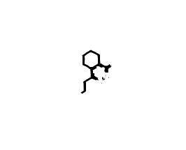 O=c1[nH]nc(CCO)c2c1CCCC2